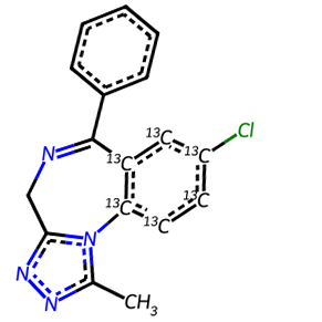 Cc1nnc2n1-[13c]1[13cH][13cH][13c](Cl)[13cH][13c]1C(c1ccccc1)=NC2